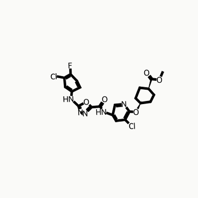 COC(=O)[C@H]1CC[C@@H](Oc2ncc(NC(=O)c3nnc(Nc4ccc(F)c(Cl)c4)o3)cc2Cl)CC1